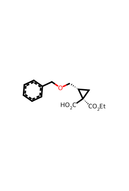 CCOC(=O)[C@@]1(C(=O)O)C[C@H]1COCc1ccccc1